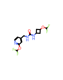 O=C(NCc1ccnc(OC(F)F)c1)NC1CC(OC(F)F)C1